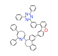 C1=C(C2CCc3ccccc3-c3cc(-c4ccc5oc6cccc(-c7cccc(-c8nc(-c9ccccc9)nc(-c9ccccc9)n8)c7)c6c5c4)ccc32)/N=C(c2ccccc2)\C=C(\c2ccccc2)CC\1